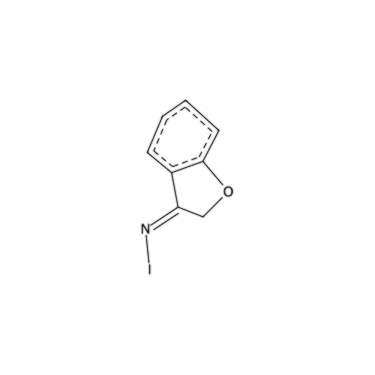 I/N=C1\COc2ccccc21